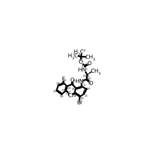 C[C@H](NC(=O)OC(C)(C)C)C(=O)Nc1ccc(Br)c(Cl)c1C(=O)c1c(F)cccc1F